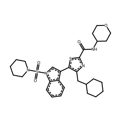 O=C(NC1CCOCC1)c1nc(CC2CCCCC2)c(-c2cn(S(=O)(=O)N3CCCCC3)c3ccccc23)s1